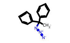 [CH2]C(N=[N+]=[N-])(c1ccccc1)c1ccccc1